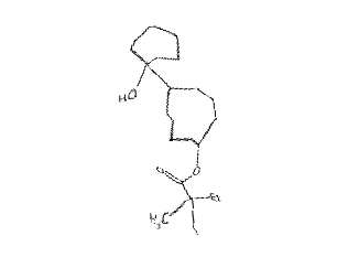 CCC(C)(I)C(=O)OC1CCCC(C2(O)CCCC2)CC1